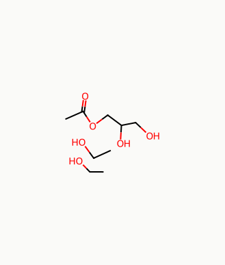 CC(=O)OCC(O)CO.CCO.CCO